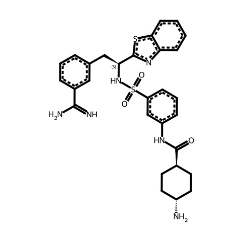 N=C(N)c1cccc(C[C@H](NS(=O)(=O)c2cccc(NC(=O)[C@H]3CC[C@H](N)CC3)c2)c2nc3ccccc3s2)c1